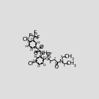 CCN(CC)C(=O)CC[S+]([O-])c1ccc(Cl)cc1NS(=O)(=O)c1ccc(Cl)c(C(F)(F)F)c1